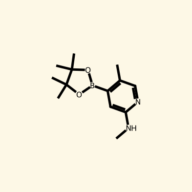 CNc1cc(B2OC(C)(C)C(C)(C)O2)c(C)cn1